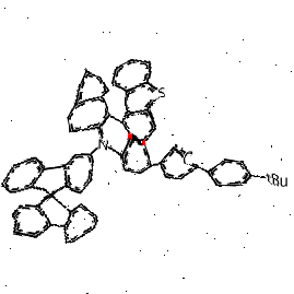 CC(C)(C)c1ccc(-c2ccc(-c3ccc(N(c4ccc5c(c4)-c4ccccc4C54c5ccccc5-c5ccccc54)c4ccc5ccccc5c4-c4cccc5sc6ccccc6c45)cc3)cc2)cc1